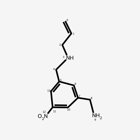 C=CCNCc1cc(CN)cc([N+](=O)[O-])c1